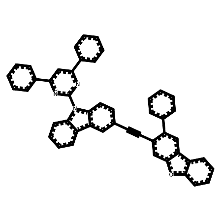 C(#Cc1cc2oc3ccccc3c2cc1-c1ccccc1)c1ccc2c(c1)c1ccccc1n2-c1nc(-c2ccccc2)cc(-c2ccccc2)n1